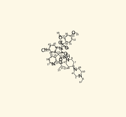 CCN1CCN(C2CCN(NC(=O)C3(c4cccnc4OC(C)C)C(=O)N(S(=O)(=O)c4ccc(OC)cc4OC)c4ccc(Cl)cc43)CC2)CC1